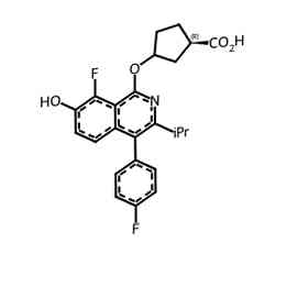 CC(C)c1nc(OC2CC[C@@H](C(=O)O)C2)c2c(F)c(O)ccc2c1-c1ccc(F)cc1